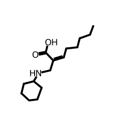 CCCCCC=C(CNC1CCCCC1)C(=O)O